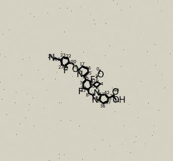 COC[C@H]1C[C@H](n2c(Cc3cc(F)c(-c4cccc(OCc5ccc(C#N)cc5F)n4)cc3F)nc3ccc(C(=O)O)cc32)C1